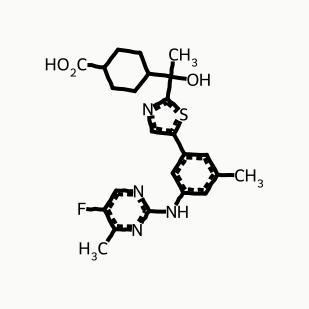 Cc1cc(Nc2ncc(F)c(C)n2)cc(-c2cnc(C(C)(O)C3CCC(C(=O)O)CC3)s2)c1